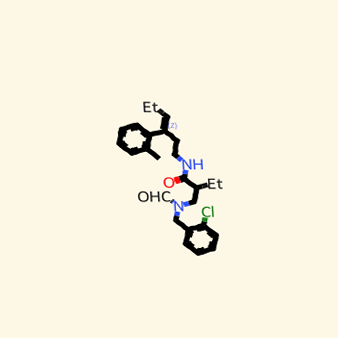 CC/C=C(/CCNC(=O)C(CC)CN(C=O)Cc1ccccc1Cl)c1ccccc1C